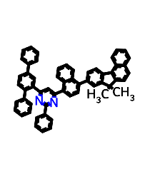 CC1(C)c2cc(-c3ccc(-c4cc(-c5cc(-c6ccccc6)ccc5-c5ccccc5)nc(-c5ccccc5)n4)c4ccccc34)ccc2-c2c1ccc1ccccc21